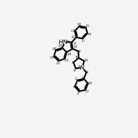 c1ccc(CN2CCC(Cc3c(-c4ccccc4)[nH]c4ccccc34)C2)cc1